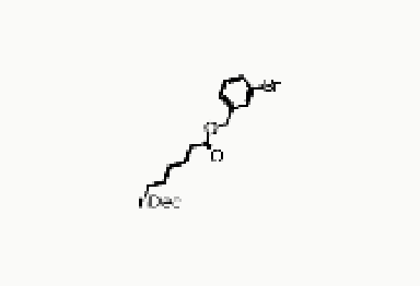 CCCCCCCCCCCCCCCC(=O)OCc1cccc(Br)c1